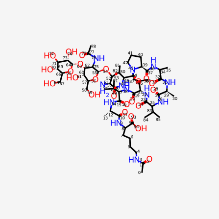 CC(=O)NCCCCC(NC(=O)[C@H](C)NC(=O)C(NC(=O)[C@@H](NC(=O)C(NC(=O)[C@H](C)NC(=O)C(C)NC(=O)[C@@H]1CCCN1C(=O)C(NC(=O)[C@@H](N)C(C)O[C@H]1OC(CO)[C@H](O)[C@H](O[C@@H]2OC(CO)[C@H](O)C(O)[C@@H]2O)C1NC(C)=O)C(C)C)C(C)C)C(C)C)C(C)C)C(=O)O